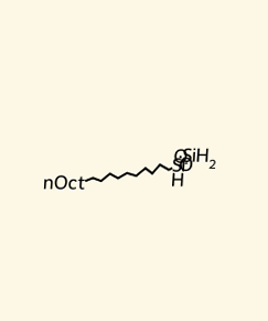 CCCCCCCCCCCCCCCCCC[SiH]1O[SiH2]O1